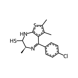 Cc1sc2c(c1C)C(c1ccc(Cl)cc1)=N[C@@H](C)C(S)N2